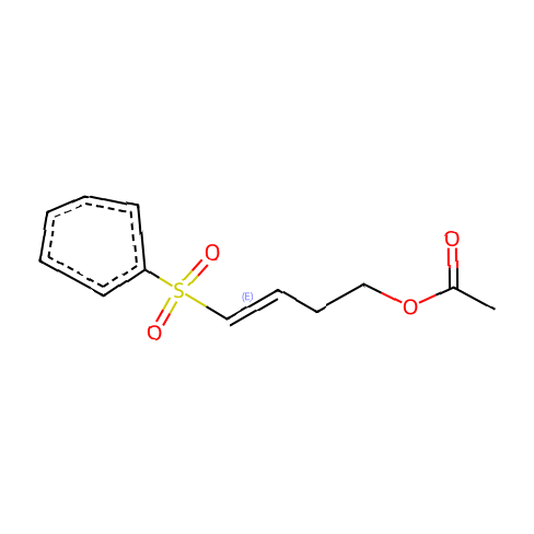 CC(=O)OCC/C=C/S(=O)(=O)c1ccccc1